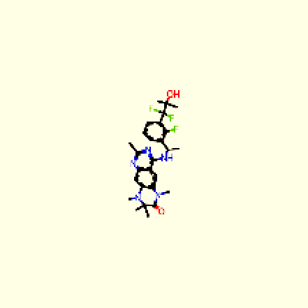 Cc1nc(N[C@H](C)c2cccc(C(F)(F)C(C)(C)O)c2F)c2cc3c(cc2n1)N(C)C(C)(C)C(=O)N3C